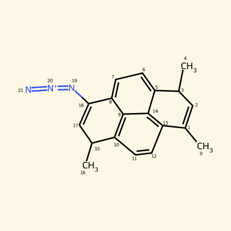 CC1=CC(C)c2ccc3c4c(ccc1c24)C(C)C=C3N=[N+]=[N-]